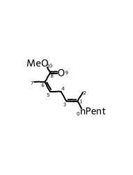 CCCCCC(C)=CCC=C(C)C(=O)OC